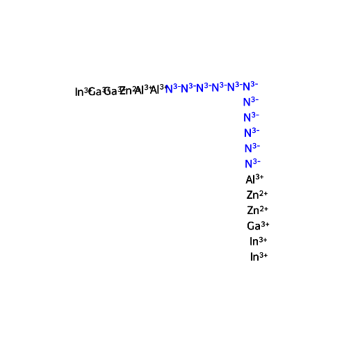 [Al+3].[Al+3].[Al+3].[Ga+3].[Ga+3].[Ga+3].[In+3].[In+3].[In+3].[N-3].[N-3].[N-3].[N-3].[N-3].[N-3].[N-3].[N-3].[N-3].[N-3].[N-3].[Zn+2].[Zn+2].[Zn+2]